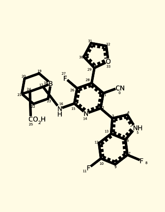 N#Cc1c(-c2c[nH]c3c(F)cc(F)cc23)nc(NC2B3CCC(CC3)C2C(=O)O)c(F)c1-c1ccco1